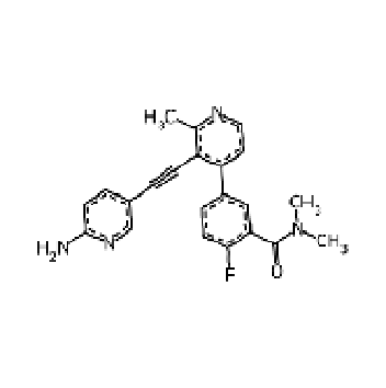 Cc1nccc(-c2ccc(F)c(C(=O)N(C)C)c2)c1C#Cc1ccc(N)nc1